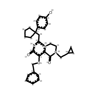 O=C1c2c(OCc3ccccc3)c(=O)nc(CC3(c4ccc(Cl)cc4)CCCC3)n2CCN1CC1CC1